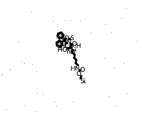 CCC[C@@](O)(C(=O)O)[C@H](C=CCCCCCNC(=O)OCC[Si](C)(C)C)C(=O)N1C(=S)OC(c2ccccc2)(c2ccccc2)C1C(C)C